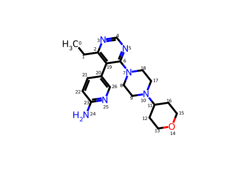 CCc1ncnc(N2CCN(C3CCOCC3)CC2)c1-c1ccc(N)nc1